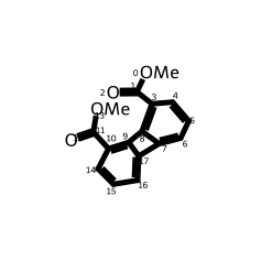 COC(=O)c1cccc2c1-c1c(C(=O)OC)cccc1-2